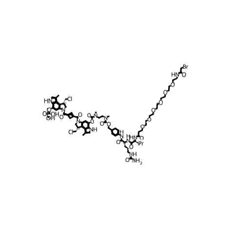 Cc1c[nH]c2c(OC(=O)N(C)CCN(C)C(=O)OCc3ccc(NC(=O)[C@H](CCCNC(N)=O)NC(=O)[C@@H](NC(=O)CCOCCOCCOCCOCCOCCOCCNC(=O)CBr)C(C)C)cc3)cc3c(c12)[C@H](CCl)CN3C(=O)C12CC(C(=O)N3C[C@@H](CCl)c4c3cc(OP(=O)(O)O)c3[nH]cc(C)c43)(C1)C2